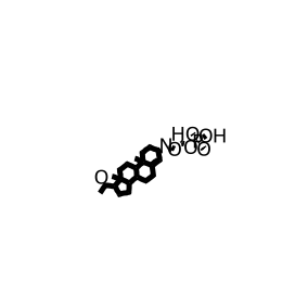 CC(=O)C1CCC2C3CCC4=CC(=NOCOP(=O)(O)O)CCC4(C)C3CCC12C